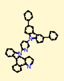 c1ccc(-c2ccc3c(c2)c2cc(-c4ccccc4)ccc2n3-c2ccc(-n3c4ccccc4c4c5ccccc5c5ncccc5c43)nc2)cc1